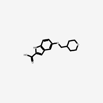 O=C(O)c1cc2cc(OCC3CCOCC3)ccc2[nH]1